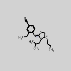 CCCC[C@H]1CS/C(=N\c2ccc(C#N)cc2CC)N1CC(C)C